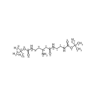 CC(C)(C)OC(=O)NCCNC(=O)CC(N)CCNC(=O)OC(C)(C)C